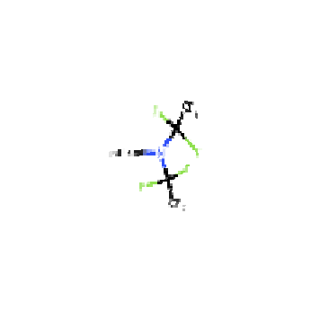 CCCN(C(F)(F)C(F)(F)F)C(F)(F)C(F)(F)F